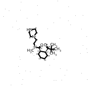 CN(CCN1CCNCC1)C(=O)[C@@H]1CCCC[C@@H]1C(=O)C(C)(C)C